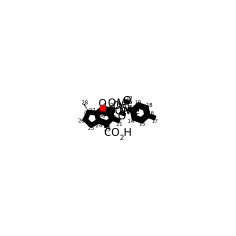 COC1(OC)C(=O)C23C(C)=C(OS(=O)(=O)c4ccc(C)cc4)C1(C)C(C(=O)O)=C2CC[C@@H]3C